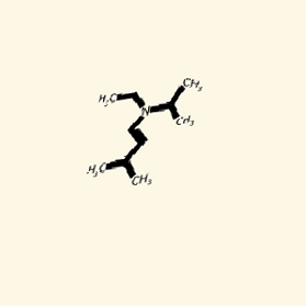 CCN(C=CC(C)C)C(C)C